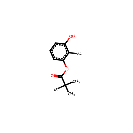 CCC(C)(C)C(=O)Oc1cccc(O)c1C(C)=O